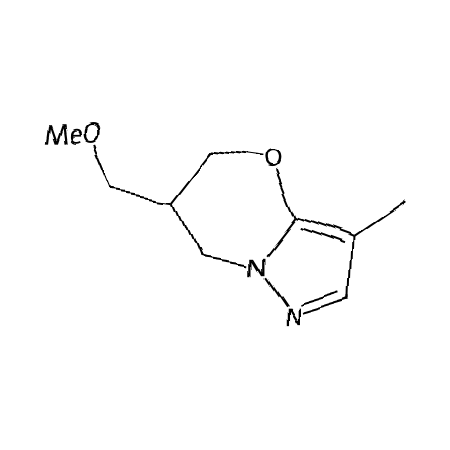 COCC1COc2c(C)cnn2C1